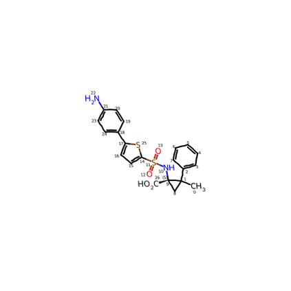 CC1(c2ccccc2)C[C@@]1(NS(=O)(=O)c1ccc(-c2ccc(N)cc2)s1)C(=O)O